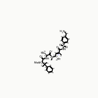 CN[C@H](C(=O)N[C@H](C(=O)N(C)[C@H](/C=C(\C)C(=O)NS(=O)(=O)c1ccc(CN)cc1)C(C)C)C(C)(C)C)C(C)(C)c1ccccc1